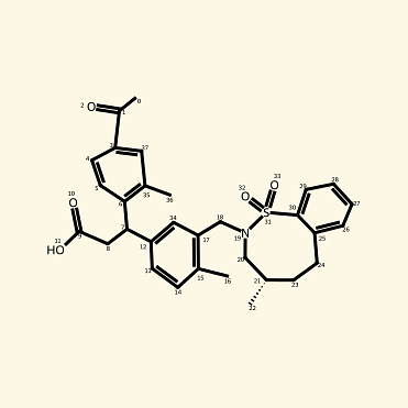 CC(=O)c1ccc(C(CC(=O)O)c2ccc(C)c(CN3C[C@@H](C)CCc4ccccc4S3(=O)=O)c2)c(C)c1